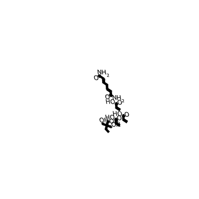 C=CC(=O)O.C=CC(=O)O.C=CC(=O)O.CCC(CO)(CO)CO.NC(=O)C=CCC=CC(N)=O